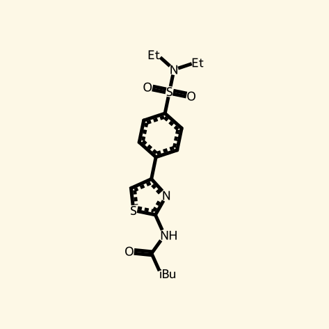 CCC(C)C(=O)Nc1nc(-c2ccc(S(=O)(=O)N(CC)CC)cc2)cs1